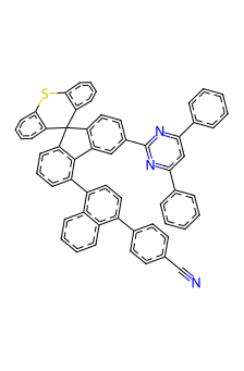 N#Cc1ccc(-c2ccc(-c3cccc4c3-c3cc(-c5nc(-c6ccccc6)cc(-c6ccccc6)n5)ccc3C43c4ccccc4Sc4ccccc43)c3ccccc23)cc1